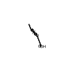 CCCCCCc1ccc(/N=N/c2ccc(OCCCCCCCCCCC(=O)O)cc2)cc1